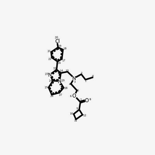 CCCN(CCOC(=O)C1CCC1)Cc1c(-c2ccc(Cl)cc2)nc2ccccn12